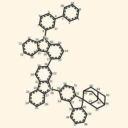 c1ccc(-c2cccc(-n3c4ccccc4c4c(-c5ccc6c7ccccc7n(-c7ccc8c(c7)-c7ccccc7C87C8CC9CC(C8)CC7C9)c6c5)cccc43)c2)cc1